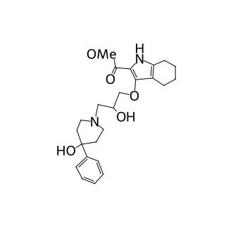 COC(=O)c1[nH]c2c(c1OCC(O)CN1CCC(O)(c3ccccc3)CC1)CCCC2